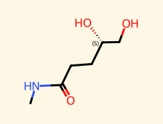 CNC(=O)CC[C@H](O)CO